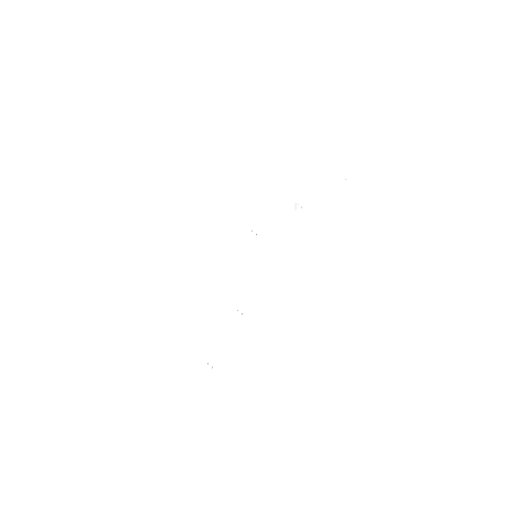 Nc1ccccc1Nc1ccc(NCC(F)(F)F)nc1